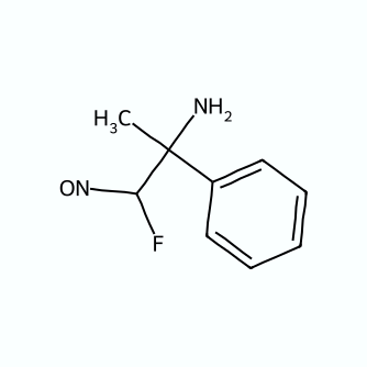 CC(N)(c1ccccc1)C(F)N=O